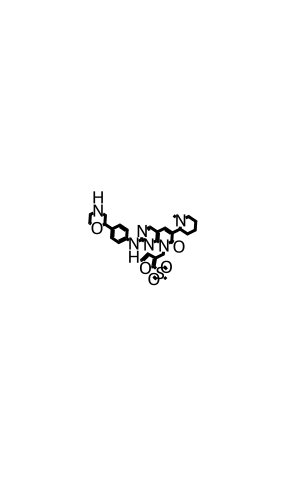 CN1CCCCC1c1cc2cnc(Nc3ccc(C4CNCCO4)cc3)nc2n(Cc2ccoc2S(C)(=O)=O)c1=O